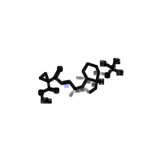 CCCCOC(=O)C1(C(=O)/C=C/[C@@H](C)[C@H]2CC[C@H]3[C@@H](O[Si](CC)(CC)CC)CCC[C@]23C)CC1